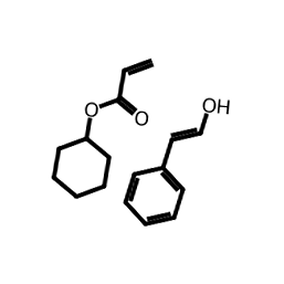 C=CC(=O)OC1CCCCC1.OC=Cc1ccccc1